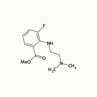 COC(=O)c1cccc(F)c1NCCN(C)C